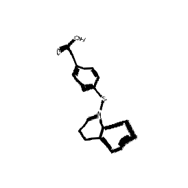 O=C(O)c1ccc(SN2CCCc3ccccc32)cc1